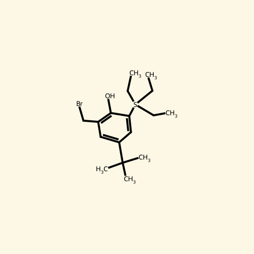 CCS(CC)(CC)c1cc(C(C)(C)C)cc(CBr)c1O